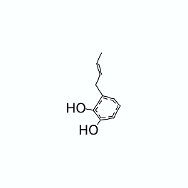 CC=CCc1cccc(O)c1O